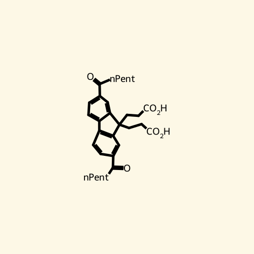 CCCCCC(=O)c1ccc2c(c1)C(CCC(=O)O)(CCC(=O)O)c1cc(C(=O)CCCCC)ccc1-2